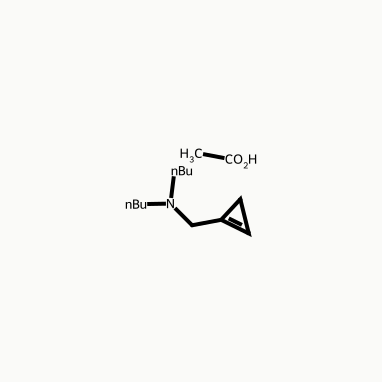 CC(=O)O.CCCCN(CCCC)CC1=CC1